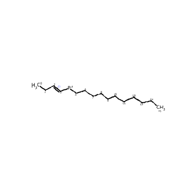 CC/C=C/[P]CCCCCCCCCCC